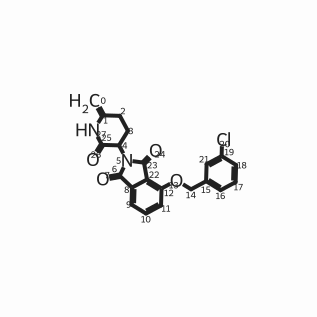 C=C1CCC(N2C(=O)c3cccc(OCc4cccc(Cl)c4)c3C2=O)C(=O)N1